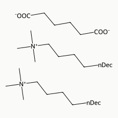 CCCCCCCCCCCCCC[N+](C)(C)C.CCCCCCCCCCCCCC[N+](C)(C)C.O=C([O-])CCCCC(=O)[O-]